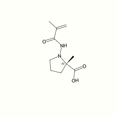 C=C(C)C(=O)NN1CCC[C@@]1(C)C(=O)O